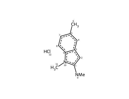 CNc1cc2cc(C)ccc2n1C.Cl